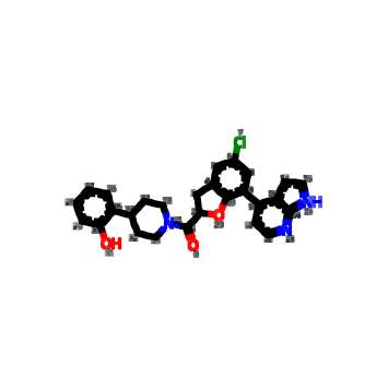 O=C(C1Cc2cc(Cl)cc(-c3ccnc4[nH]ccc34)c2O1)N1CCC(c2ccccc2O)CC1